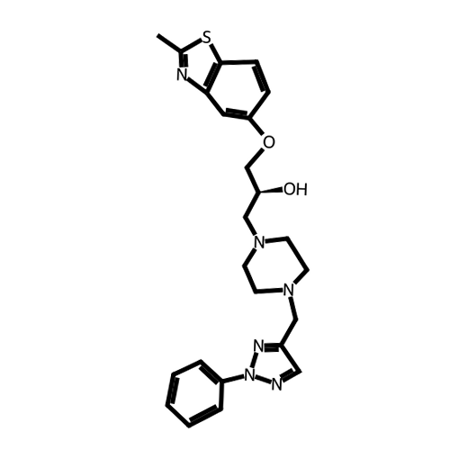 Cc1nc2cc(OC[C@@H](O)CN3CCN(Cc4cnn(-c5ccccc5)n4)CC3)ccc2s1